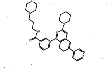 O=C(NCCCN1CCOCC1)c1cccc(-c2nc(N3CCOCC3)nc3c2CCC(c2cccnc2)=C3)c1